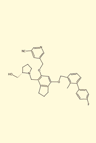 Cc1c(COc2cc(OCc3cncc(C#N)c3)c(CN3CCC[C@H]3CO)c3c2CCC3)cccc1-c1ccc(F)cc1